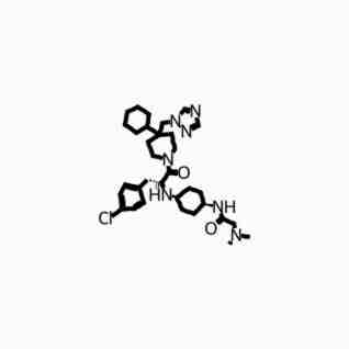 CN(C)CC(=O)N[C@H]1CC[C@@H](N[C@H](Cc2ccc(Cl)cc2)C(=O)N2CCC(Cn3cncn3)(C3CCCCC3)CC2)CC1